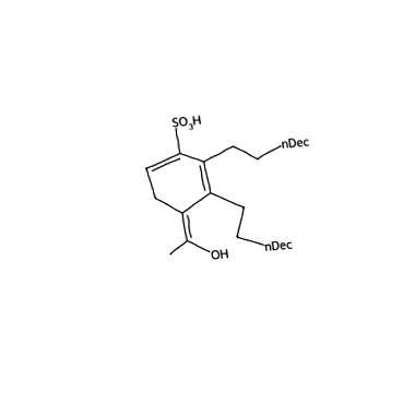 CCCCCCCCCCCCC1=C(CCCCCCCCCCCC)C(=C(C)O)CC=C1S(=O)(=O)O